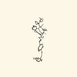 COC(=O)C1=C(C)NC(C)=C(C(=O)OCC=Cc2ccc(Cc3ncc[nH]3)cc2)C1c1ccccc1